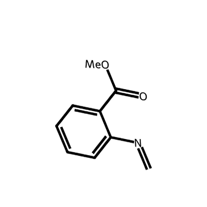 C=Nc1ccccc1C(=O)OC